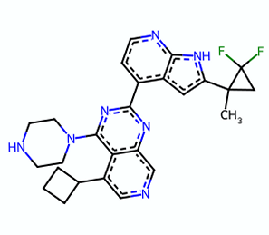 CC1(c2cc3c(-c4nc(N5CCNCC5)c5c(C6CCC6)cncc5n4)ccnc3[nH]2)CC1(F)F